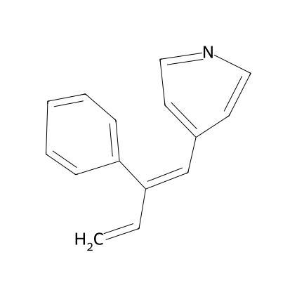 C=CC(=Cc1ccncc1)c1ccccc1